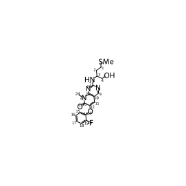 CSCCC(CO)Nc1ncc2cc(Oc3ccccc3F)c(=O)n(C)c2n1